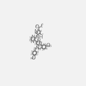 CCC(=O)c1cc(C)c(Nc2nccnc2-c2cc(N(Cc3ccc(OC)cc3)Cc3ccc(OC)cc3)ncn2)cn1